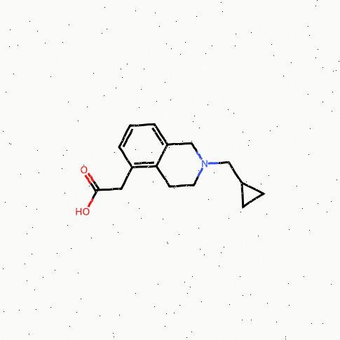 O=C(O)Cc1cccc2c1CCN(CC1CC1)C2